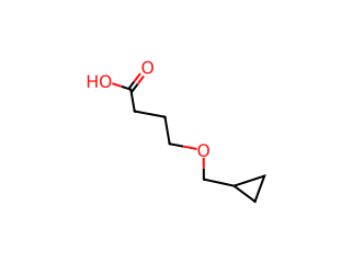 O=C(O)CCCOCC1CC1